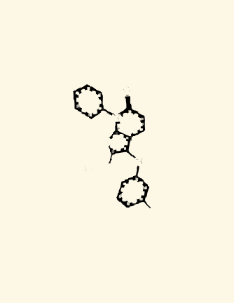 CCOC(=O)c1sc2c(ccc(=O)n2-c2ccccc2)c1Nc1cccc(Cl)c1